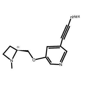 CCCCCCC#Cc1cncc(OC[C@@H]2CCN2C)c1